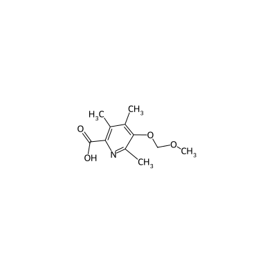 COCOc1c(C)nc(C(=O)O)c(C)c1C